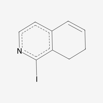 Ic1nccc2c1CCC=C2